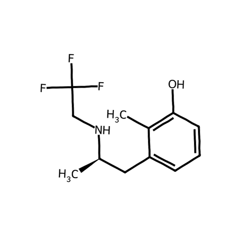 Cc1c(O)cccc1C[C@@H](C)NCC(F)(F)F